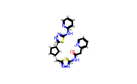 O=C(Cc1ccccn1)Nc1nnc(C[C@@H]2CC[C@@H](c3nnc(Nc4ccccn4)s3)C2)s1